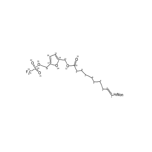 CCCCCCCCC/C=C/CCCCCCCC(=O)OCc1ccc(COS(=O)(=O)C(F)(F)F)o1